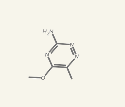 COc1nc(N)nnc1C